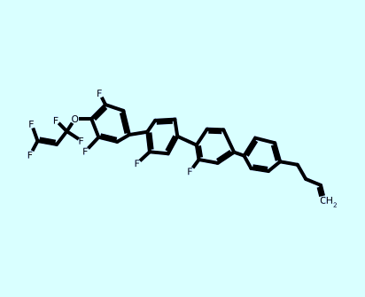 C=CCCc1ccc(-c2ccc(-c3ccc(-c4cc(F)c(OC(F)(F)C=C(F)F)c(F)c4)c(F)c3)c(F)c2)cc1